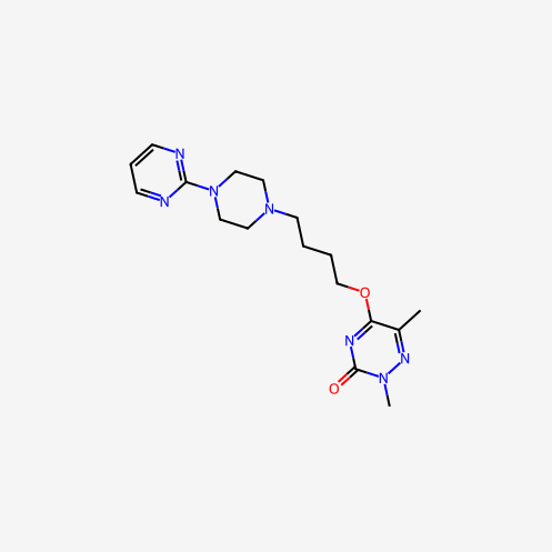 Cc1nn(C)c(=O)nc1OCCCCN1CCN(c2ncccn2)CC1